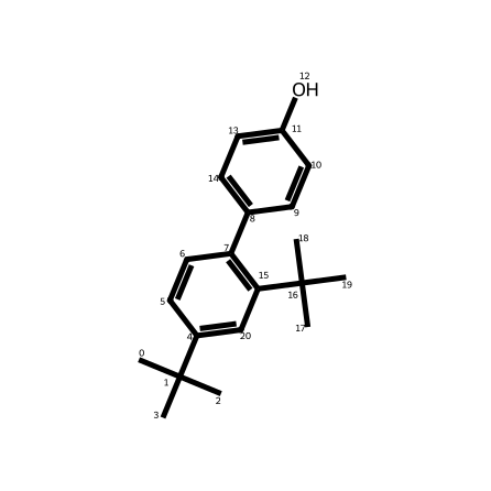 CC(C)(C)c1ccc(-c2ccc(O)cc2)c(C(C)(C)C)c1